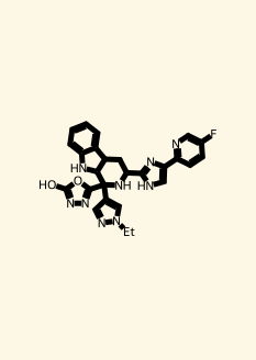 CCn1cc(C2(c3nnc(O)o3)NC(c3nc(-c4ccc(F)cn4)c[nH]3)CC3c4ccccc4NC32)cn1